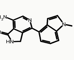 Cn1ccc2c(-c3ncc(N)c4c3CNC4=O)cccc21